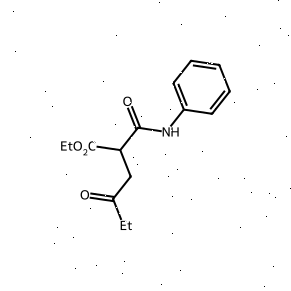 CCOC(=O)C(CC(=O)CC)C(=O)Nc1ccccc1